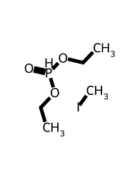 CCO[PH](=O)OCC.CI